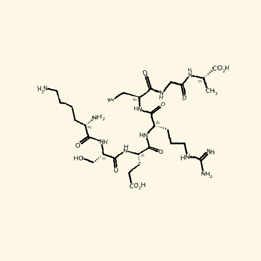 CC(C)C[C@H](NC(=O)[C@H](CCCNC(=N)N)NC(=O)[C@H](CCC(=O)O)NC(=O)[C@H](CO)NC(=O)[C@@H](N)CCCCN)C(=O)NCC(=O)N[C@@H](C)C(=O)O